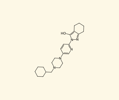 Oc1c2c(nn1-c1ccc(N3CCN(CC4CCCCC4)CC3)cn1)CCCC2